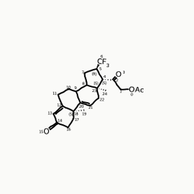 CC(=O)OCC(=O)[C@H]1[C@H](C(F)(F)F)CC2C3CCC4=CC(=O)CC[C@]4(C)C3=CC[C@@]21C